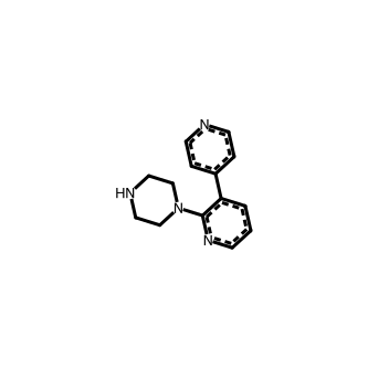 c1cnc(N2CCNCC2)c(-c2ccncc2)c1